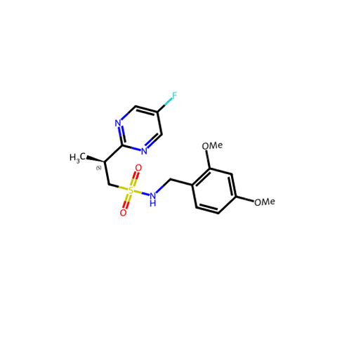 COc1ccc(CNS(=O)(=O)C[C@@H](C)c2ncc(F)cn2)c(OC)c1